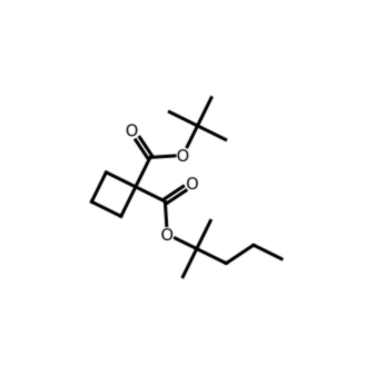 CCCC(C)(C)OC(=O)C1(C(=O)OC(C)(C)C)CCC1